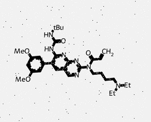 C=CC(=O)N(CCCCN(CC)CC)c1ncc2cc(-c3cc(OC)cc(OC)c3)c(NC(=O)NC(C)(C)C)nc2n1